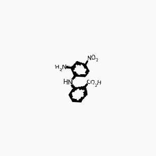 Nc1cc([N+](=O)[O-])ccc1Nc1ccccc1C(=O)O